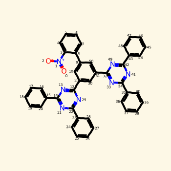 O=[N+]([O-])c1ccccc1-c1cc(-c2nc(-c3ccccc3)nc(-c3ccccc3)n2)cc(-c2nc(-c3ccccc3)nc(-c3ccccc3)n2)c1